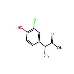 CC(=O)C(C)c1ccc(O)c(Cl)c1